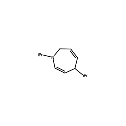 CC(C)C1C=CCN(C(C)C)C=C1